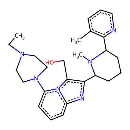 CCN1CCN(c2cccc3nc(C4CCCC(c5ncccc5C)N4C)c(CO)n23)CC1